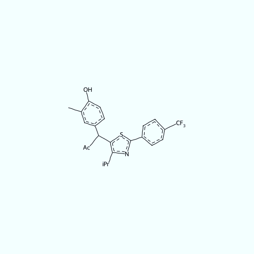 CC(=O)C(c1ccc(O)c(C)c1)c1sc(-c2ccc(C(F)(F)F)cc2)nc1C(C)C